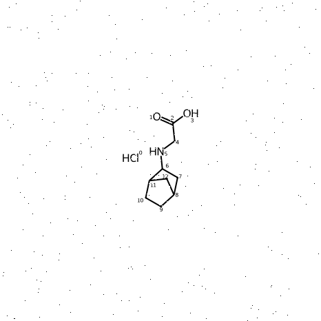 Cl.O=C(O)CNC1CC2CCC1C2